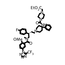 CCOC(=O)CN1CCN(C(=O)NC2(c3ccccc3)CCN(CC[C@H](CN(C)C(=O)c3cc(-n4nnnc4C(F)(F)F)ccc3OC)c3ccc(F)cc3)CC2)CC1